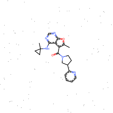 Cc1oc2ncnc(NC3(C)CC3)c2c1C(=O)N1CCC(c2ccccn2)C1